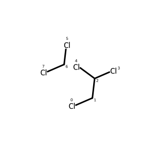 ClCC(Cl)Cl.ClCCl